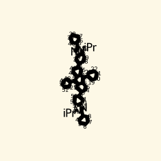 CC(C)n1c(-c2ccccc2)nc2cc(-c3ccc4c(-c5ccccc5)c5cc(-c6ccc7c(c6)nc(-c6ccccc6)n7C(C)C)ccc5c(-c5ccccc5)c4c3)ccc21